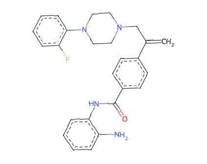 C=C(CN1CCN(c2ccccc2F)CC1)c1ccc(C(=O)Nc2ccccc2N)cc1